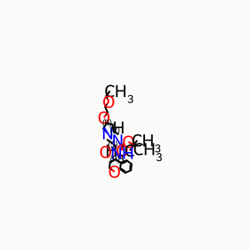 CCOCCO[C@@H]1C[C@@H]2CN(C(=O)OC(C)(C)C)[C@H](C(=O)N[C@@H]3CCOc4ccccc43)CN2C1